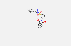 CCCCNS(=O)(=O)c1cccc(N2C(=O)C3C4CCC(C5CC54)C3C2=O)c1